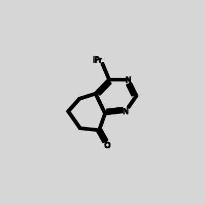 CC(C)c1ncnc2c1CCCC2=O